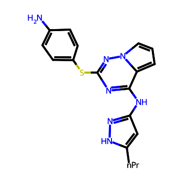 CCCc1cc(Nc2nc(Sc3ccc(N)cc3)nn3cccc23)n[nH]1